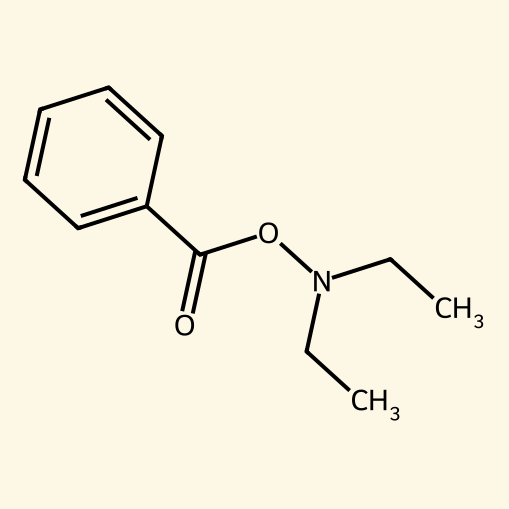 CCN(CC)OC(=O)c1ccccc1